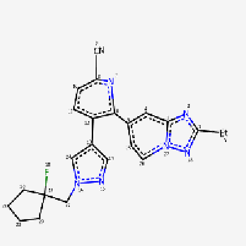 CCc1nc2cc(-c3nc(C#N)ccc3-c3cnn(CC4(F)CCCC4)c3)ccn2n1